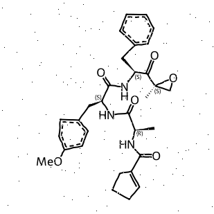 COc1ccc(C[C@H](NC(=O)[C@@H](C)NC(=O)C2=CCCC2)C(=O)N[C@@H](Cc2ccccc2)C(=O)[C@]2(C)CO2)cc1